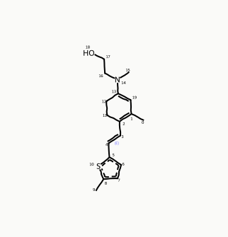 CC1=C(/C=C/c2ccc(C)s2)CCC(N(C)CCO)=C1